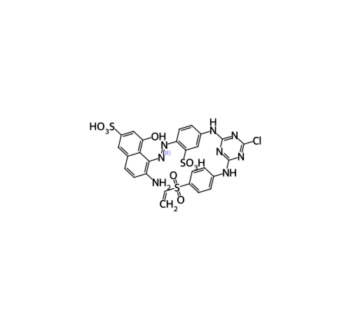 C=CS(=O)(=O)c1ccc(Nc2nc(Cl)nc(Nc3ccc(/N=N/c4c(N)ccc5cc(S(=O)(=O)O)cc(O)c45)c(S(=O)(=O)O)c3)n2)cc1